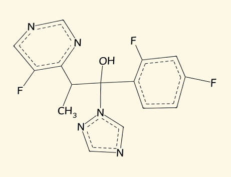 CC(c1ncncc1F)C(O)(c1ccc(F)cc1F)n1cncn1